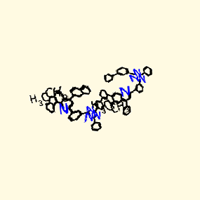 CC1(C)c2ccccc2-c2c1ccc1c(-c3ccc4ccccc4c3)cc(-c3cccc(-c4nc(-c5ccccc5)nc(-c5ccc(-c6cccc7c6C(C)(C)c6cc8c(-c9ccccc9)cc(-c9cccc(-c%10nc(-c%11ccccc%11)nc(-c%11cccc(-c%12ccccc%12)c%11)n%10)c9)nc8cc6-7)cc5)n4)c3)nc21